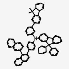 CC1(C)c2cc(-c3cccc(N(c4ccc(-c5ccc6ccccc6c5-c5ccc6ccccc6c5)cc4)c4ccc5c(c4)C(C4=CCCC=C4)(c4ccccc4)c4ccccc4-5)c3)ccc2C2C=CC=CC21